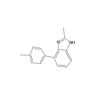 Cc1ccc(-c2cccc3[nH]c(C)nc23)cc1